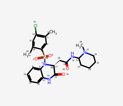 Cc1cc(S(=O)(=O)N2c3ccccc3NC(=O)[C@H]2CC(=O)NC2CCCCN2C)c(C)cc1Cl